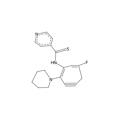 FC1=CC(NC(=S)c2ccncc2)=C(N2CCCCC2)C#CC1